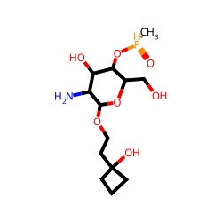 C[PH](=O)OC1C(CO)OC(OCCC2(O)CCC2)C(N)C1O